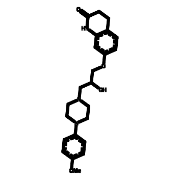 COc1ccc(N2CCN(CC(O)COc3ccc4c(c3)NC(=O)CC4)CC2)cc1